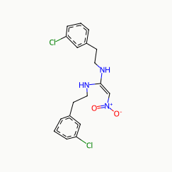 O=[N+]([O-])C=C(NCCc1cccc(Cl)c1)NCCc1cccc(Cl)c1